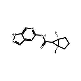 O=C(Nc1cc2cn[nH]c2cn1)C1[C@H]2CCC[C@@H]12